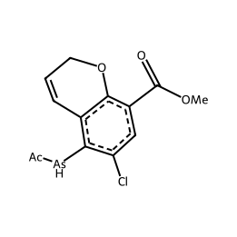 COC(=O)c1cc(Cl)c([AsH]C(C)=O)c2c1OCC=C2